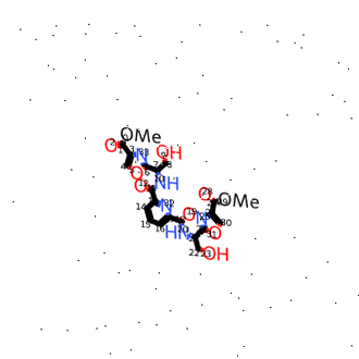 COC(=O)c1coc(C(CO)NC(=O)c2cccc(C(=O)NC(CO)c3nc(C(=O)OC)co3)n2)n1